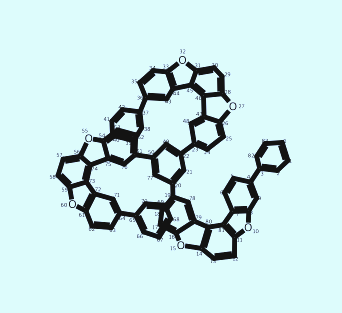 c1ccc(-c2ccc3c(c2)oc2ccc4oc5ccc(-c6cc(-c7ccc8oc9ccc%10oc%11ccc(-c%12ccccc%12)cc%11c%10c9c8c7)cc(-c7ccc8oc9ccc%10oc%11ccc(-c%12ccccc%12)cc%11c%10c9c8c7)c6)cc5c4c23)cc1